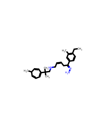 CCc1ccc(/C(C/C=C\CNCC(C)(C)C2=CC=CC(C)C=C2)=N/N)cc1C